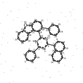 c1ccc(-c2nc(-c3cccc4ccccc34)nc(-c3c(-c4ccccc4)ccc4oc5ccccc5c34)n2)cc1